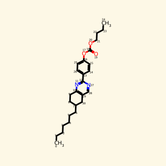 CCCCCCCC1CCc2nc(-c3ccc(OC(=O)OCCCC)cc3)ncc2C1